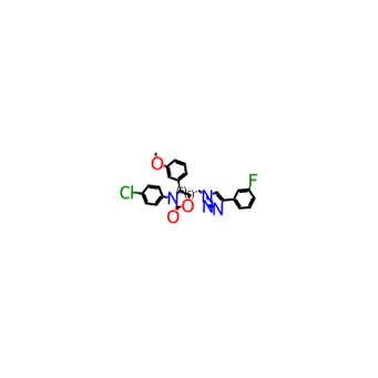 COc1cccc([C@H]2[C@H](Cn3cc(-c4cccc(F)c4)nn3)OC(=O)N2c2ccc(Cl)cc2)c1